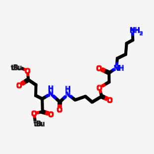 CC(C)(C)OC(=O)CCC(NC(=O)NCCCC(=O)OCC(=O)NCCCCN)C(=O)OC(C)(C)C